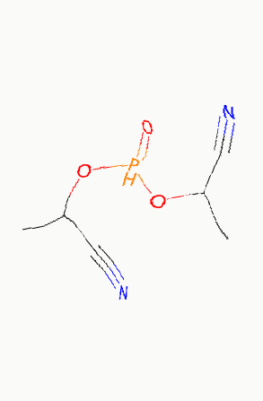 CC(C#N)O[PH](=O)OC(C)C#N